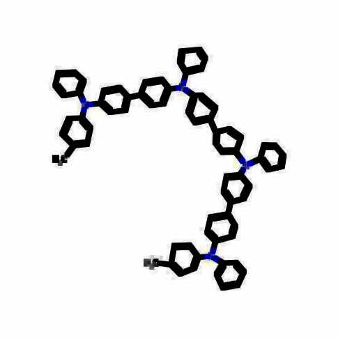 Cc1ccc(N(c2ccccc2)c2ccc(-c3ccc(N(c4ccccc4)c4ccc(-c5ccc(N(c6ccccc6)c6ccc(-c7ccc(N(c8ccccc8)c8ccc(C)cc8)cc7)cc6)cc5)cc4)cc3)cc2)cc1